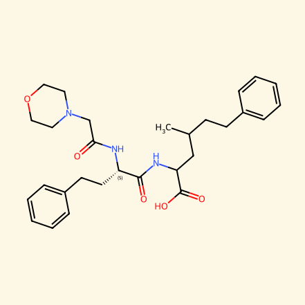 CC(CCc1ccccc1)CC(NC(=O)[C@H](CCc1ccccc1)NC(=O)CN1CCOCC1)C(=O)O